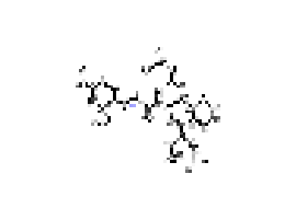 COc1ccc(/C=C/C(=O)Nc2cc(N(C=O)OC(C)(C)C)c3ccccc3c2CCOC(C)=O)c(OC)n1